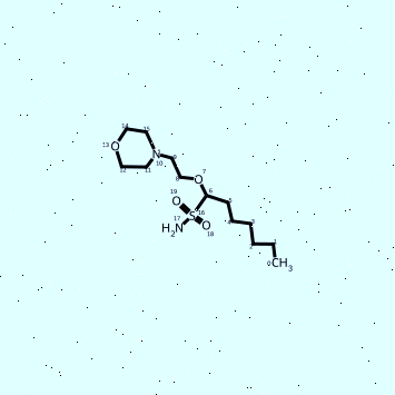 CCCCCCC(OCCN1CCOCC1)S(N)(=O)=O